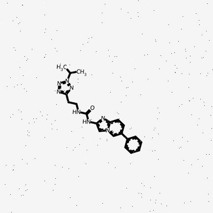 CC(C)n1nnc(CCNC(=O)Nc2cn3cc(-c4ccccc4)ccc3n2)n1